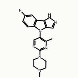 Cc1nc(N2CCN(C)CC2)ncc1-n1c2ccc(F)cc2c2[nH]ncc21